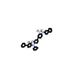 CC1C=C(c2ccc(N(C)c3ccc4ccccc4c3)cc2)C=CC1N(c1ccccc1)c1ccc(-c2ccccc2)cc1